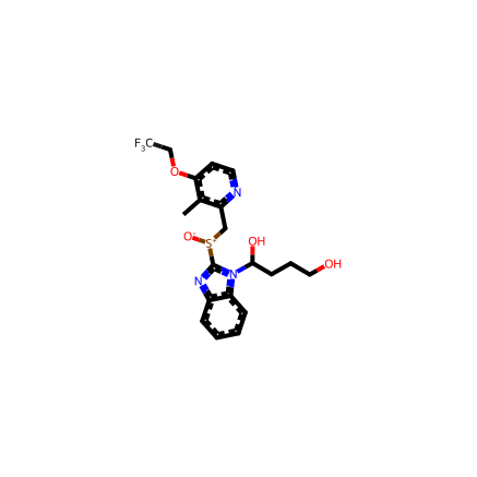 Cc1c(OCC(F)(F)F)ccnc1C[S+]([O-])c1nc2ccccc2n1C(O)CCCO